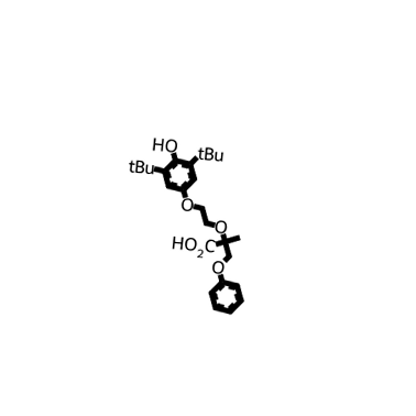 CC(COc1ccccc1)(OCCOc1cc(C(C)(C)C)c(O)c(C(C)(C)C)c1)C(=O)O